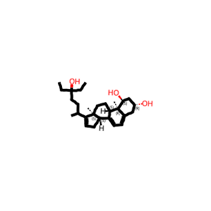 CCC(O)(CC)CCC(C)C1=CC[C@H]2C3=CC=C4C[C@@H](O)C[C@H](O)[C@]4(C)[C@H]3CC[C@]12C